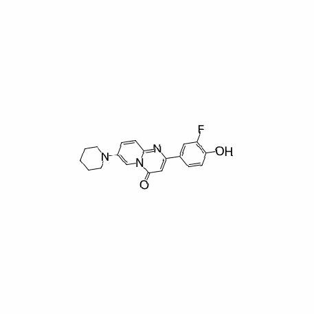 O=c1cc(-c2ccc(O)c(F)c2)nc2ccc(N3CCCCC3)cn12